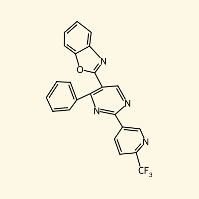 FC(F)(F)c1ccc(-c2ncc(-c3nc4ccccc4o3)c(-c3ccccc3)n2)cn1